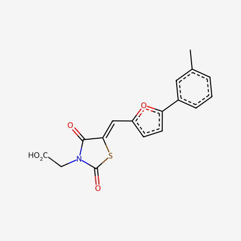 Cc1cccc(-c2ccc(/C=C3\SC(=O)N(CC(=O)O)C3=O)o2)c1